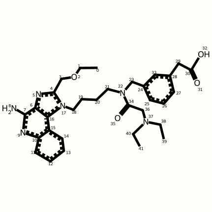 CCOCc1nc2c(N)nc3ccccc3c2n1CCCCN(Cc1cccc(CC(=O)O)c1)C(=O)CN(CC)CC